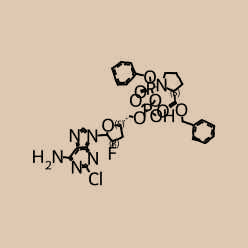 Nc1nc(Cl)nc2c1ncn2C1O[C@H](COP(=O)(O)OP(=O)(Oc2ccccc2)N2CCC[C@H]2C(=O)OCc2ccccc2)C[C@H]1F